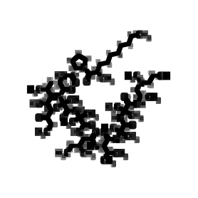 CCCCCCCC[C@@H](C)C(=O)N1CCC[C@H]1C(=O)N[C@@H](C[C@H](C)C[C@H](O)CC(=O)CC)C(=O)NC(C)(C)C(=O)NC(C)(C)C(=O)N[C@H](C(=O)N[C@H](C(=O)NC(C)(C)C(=O)NC(C)(C)C(=O)N[C@@H](C)CN(C)CCO)C(C)C)[C@@H](C)CC